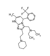 CCN(CC)Cc1c(CCN2CCCCC2)nc2n1C(c1ccccc1C(F)(F)F)C=C(C)N2